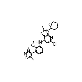 COc1c(Nc2cc(Cl)nc3c2nc(C)n3C2CCCCO2)cccc1-c1c(C)nnn1C